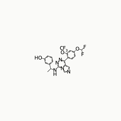 CC(Nc1nnc(-c2ccc(OC(F)F)cc2OC(F)(F)F)c2cncn12)c1cccc(O)c1